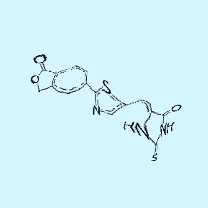 O=C1NC(=S)N/C1=C\c1cnc(-c2ccc3c(c2)COC3=O)s1